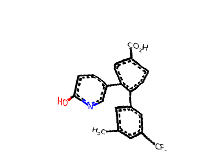 Cc1cc(-c2ccc(C(=O)O)cc2-c2ccc(O)nc2)cc(C(F)(F)F)c1